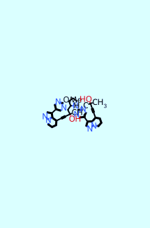 COc1ncc(-c2cnn3cccc(C#CC(C)(O)CC4CCCN4c4ncc(-c5cnn6cccc(C#CC(C)(C)O)c56)cn4)c23)cn1